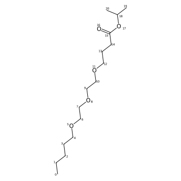 CCCCCOCCOCCOCCCC(=O)OC(C)C